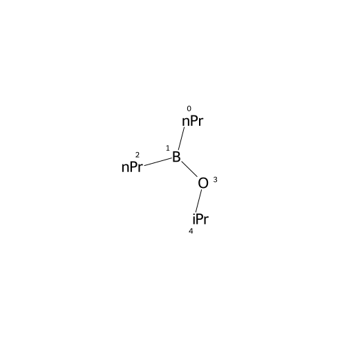 CCCB(CCC)OC(C)C